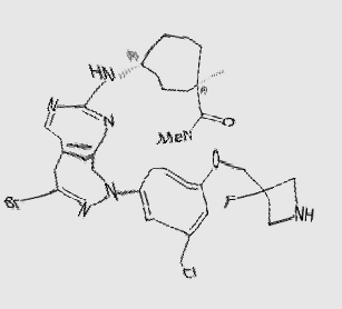 CNC(=O)[C@]1(C)CC[C@@H](Nc2ncc3c(Br)nn(-c4cc(Cl)cc(OCC5(F)CNC5)c4)c3n2)C1